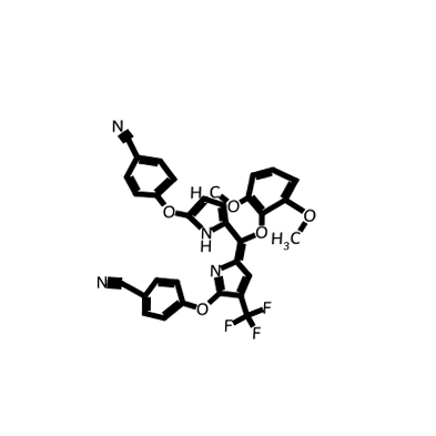 COc1cccc(OC)c1O/C(=C1\C=C(C(F)(F)F)C(Oc2ccc(C#N)cc2)=N1)c1ccc(Oc2ccc(C#N)cc2)[nH]1